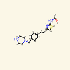 CC(=O)Nc1nc(CCc2ccc(CN3CCNCC3)cc2)cs1